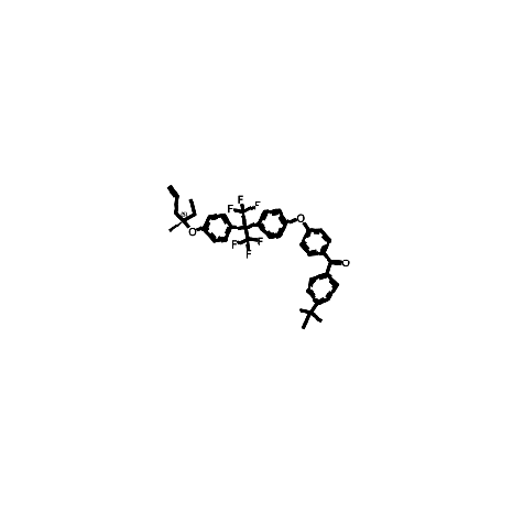 C=CC[C@](C)(CC)Oc1ccc(C(c2ccc(Oc3ccc(C(=O)c4ccc(C(C)(C)C)cc4)cc3)cc2)(C(F)(F)F)C(F)(F)F)cc1